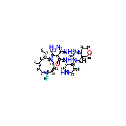 CCC1CC(C)C/C=C(/F)C#CCN1C(C)C(C(=O)NC1CNCC(F)C1N1CCN2CCOC[C@H]2C1)C(N)N